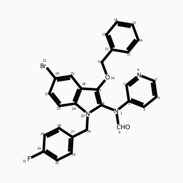 O=CN(c1cccnc1)c1c(OCc2ccccc2)c2cc(Br)ccc2n1Cc1ccc(F)cc1